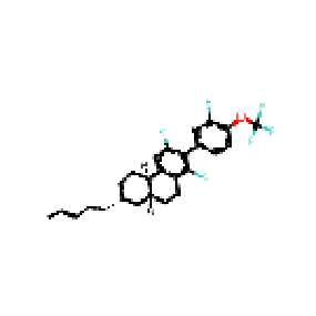 C/C=C/CC[C@@H]1CC[C@@H]2c3cc(F)c(-c4ccc(OC(F)(F)F)c(F)c4)c(F)c3CC[C@@H]2C1